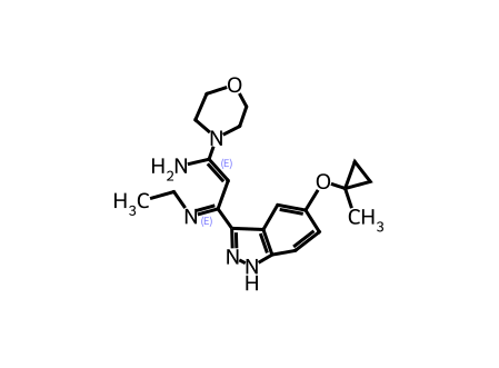 CC/N=C(\C=C(/N)N1CCOCC1)c1n[nH]c2ccc(OC3(C)CC3)cc12